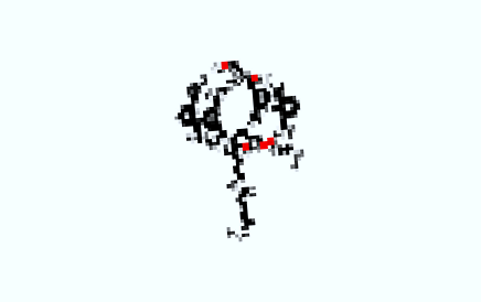 CC(=O)CCCC(=O)NCCCCC1CN2CCNC(=O)c3cccc(c3O)C(=O)NCCN(CCNC(=O)c3cccc(c3O)C(=O)N1)CCN1CCNC(=O)c3cccc(c3O)C(=O)NCCN(CC2)CC(CCCCNC(=S)NF)NC(=O)c2cccc(c2O)C(=O)NCC1